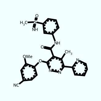 COc1cc(C#N)ccc1Oc1nnc(-c2ccccn2)c(C)c1C(=O)Nc1cccc(S(C)(=N)=O)c1